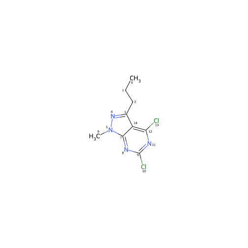 CCCc1nn(C)c2nc(Cl)nc(Cl)c12